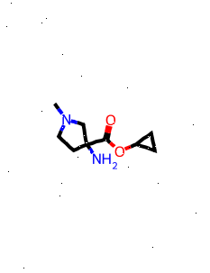 CN1CCC(N)(C(=O)OC2CC2)C1